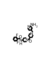 Nc1cc(CN2CCC(C(=O)N3CCC(NC(=O)c4c(F)cccc4F)CC3)CC2)ccn1